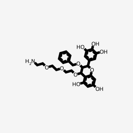 NCCOCCOCCOC1c2c(O)cc(O)cc2OC(c2cc(O)c(O)c(O)c2)C1OCc1ccccc1